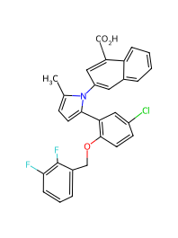 Cc1ccc(-c2cc(Cl)ccc2OCc2cccc(F)c2F)n1-c1cc(C(=O)O)c2ccccc2c1